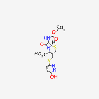 O=C(NC1C(=O)N2C(C(=O)O)=C(CSc3ccc(O)nn3)CS[C@H]12)OCC(Cl)(Cl)Cl